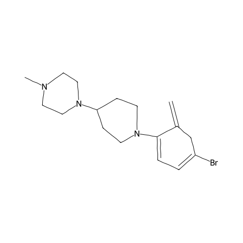 C=C1CC(Br)=CC=C1N1CCC(N2CCN(C)CC2)CC1